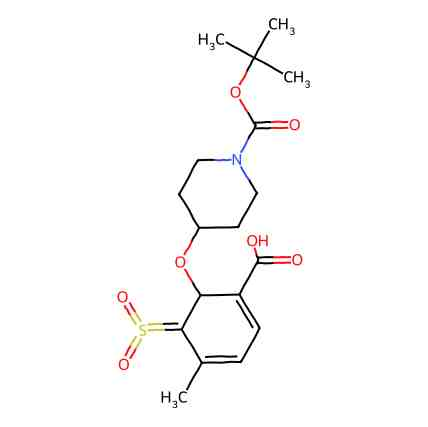 CC1=CC=C(C(=O)O)C(OC2CCN(C(=O)OC(C)(C)C)CC2)C1=S(=O)=O